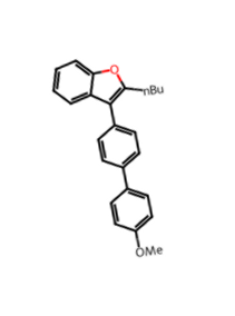 CCCCc1oc2ccccc2c1-c1ccc(-c2ccc(OC)cc2)cc1